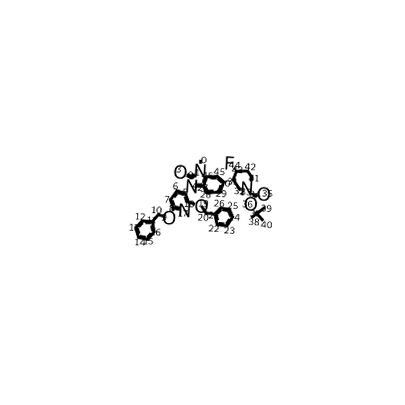 Cn1c(=O)n(-c2ccc(OCc3ccccc3)nc2OCc2ccccc2)c2ccc([C@H]3CN(C(=O)OC(C)(C)C)CC[C@@H]3F)cc21